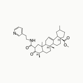 COC(=O)[C@]12CCC(C)CC1C1=CCC3C4(C)CC(C(=O)NCCc5cccnc5)C(=O)[C@H](C)C4CC[C@@]3(C)C1CC2